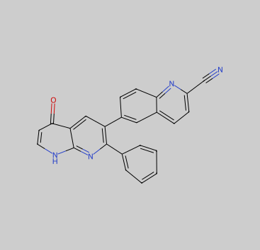 N#Cc1ccc2cc(-c3cc4c(=O)cc[nH]c4nc3-c3ccccc3)ccc2n1